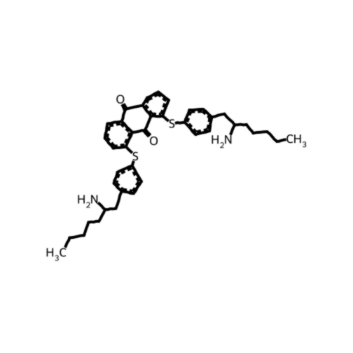 CCCCCC(N)Cc1ccc(Sc2cccc3c2C(=O)c2c(Sc4ccc(CC(N)CCCCC)cc4)cccc2C3=O)cc1